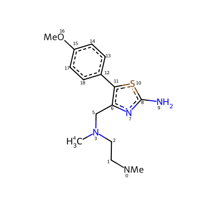 CNCCN(C)Cc1nc(N)sc1-c1ccc(OC)cc1